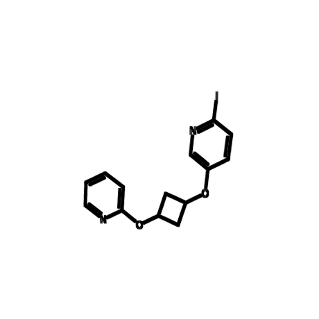 Ic1ccc(OC2CC(Oc3ccccn3)C2)cn1